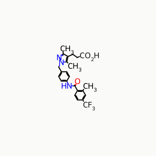 Cc1cc(C(F)(F)F)ccc1C(=O)Nc1ccc(Cn2nc(C)c(CCC(=O)O)c2C)cc1